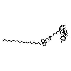 CCCCCCCCCCCCCCCCCCCC1OCC(COCCCCCCN2C=CSC2OS(=O)(=O)c2ccc(C)cc2)O1